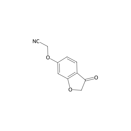 N#CCOc1ccc2c(c1)OCC2=O